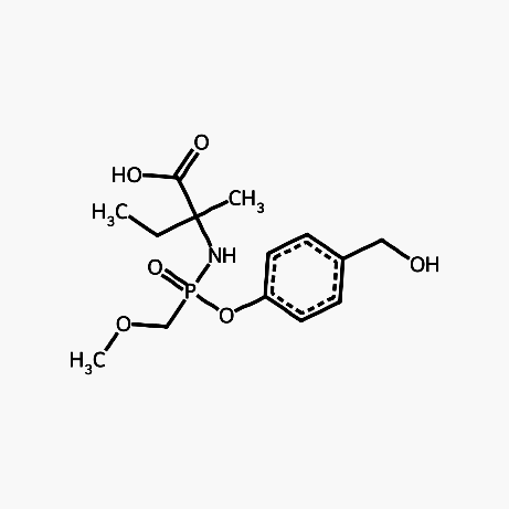 CCC(C)(NP(=O)(COC)Oc1ccc(CO)cc1)C(=O)O